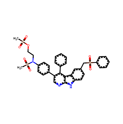 CS(=O)(=O)OCCN(c1ccc(-c2cnc3[nH]c4ccc(CS(=O)(=O)c5ccccc5)cc4c3c2-c2ccccc2)cc1)S(C)(=O)=O